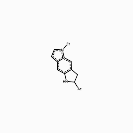 CCn1ccc2cc3c(cc21)CC(C(C)=O)N3